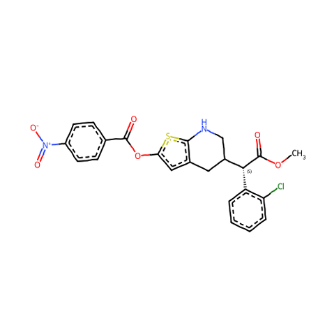 COC(=O)[C@H](c1ccccc1Cl)C1CNc2sc(OC(=O)c3ccc([N+](=O)[O-])cc3)cc2C1